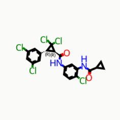 O=C(Nc1cc(NC(=O)[C@H]2[C@H](c3cc(Cl)cc(Cl)c3)C2(Cl)Cl)ccc1Cl)C1CC1